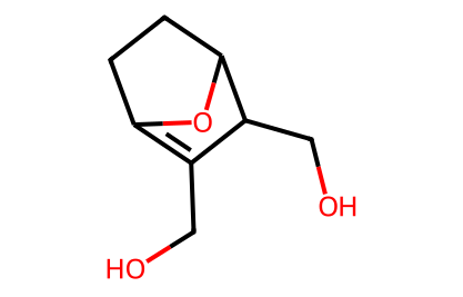 OCC1=C2CCC(O2)C1CO